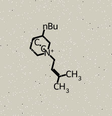 CCCCC1C[N+]2(CC=C(C)C)CCC1CC2